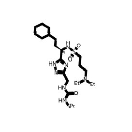 CCN(CC)CCCS(=O)(=O)N[C@H](CCC1CCCCC1)c1nc(CNC(=O)NC(C)C)n[nH]1